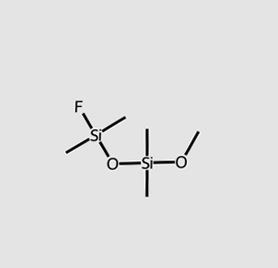 CO[Si](C)(C)O[Si](C)(C)F